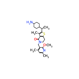 COc1nc(C)cc(C)c1CN1CCc2sc([C@H](C)C3CCC(N)CC3)c(C)c2C1=O